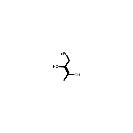 CCCCC(O)=C(C)O